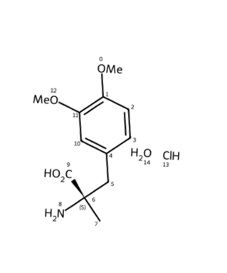 COc1ccc(C[C@](C)(N)C(=O)O)cc1OC.Cl.O